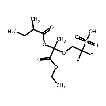 CCOC(=O)C(C)(OCC(F)(F)S(=O)(=O)O)OC(=O)C(C)CC